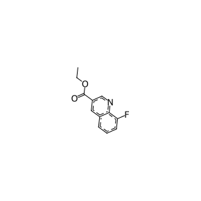 CCOC(=O)c1cnc2c(F)cccc2c1